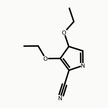 CCOC1=C(C#N)N=CC1OCC